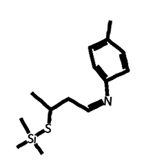 Cc1ccc(/N=C\CC(C)S[Si](C)(C)C)cc1